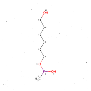 CP(O)OCCCCCCO